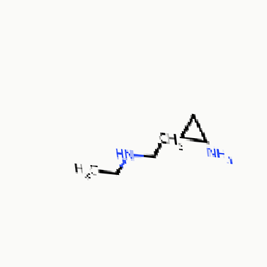 C1CC1.CCNCC.N